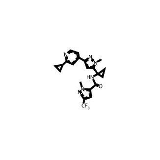 Cn1nc(C(F)(F)F)cc1C(=O)NC1(c2cc(-c3ccnc(C4CC4)c3)nn2C)CC1